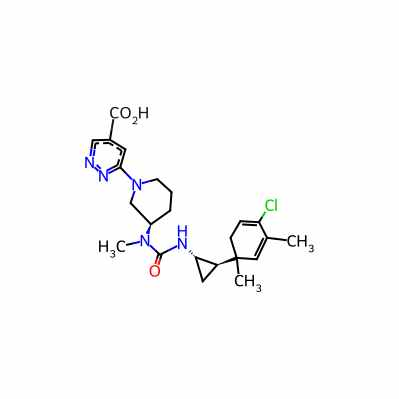 CC1=CC(C)([C@H]2C[C@@H]2NC(=O)N(C)[C@@H]2CCCN(c3cc(C(=O)O)cnn3)C2)CC=C1Cl